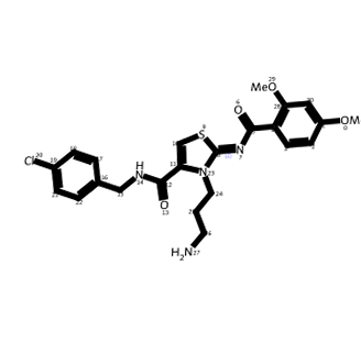 COc1ccc(C(=O)/N=c2\scc(C(=O)NCc3ccc(Cl)cc3)n2CCCN)c(OC)c1